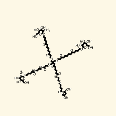 CC1C(OCCCCC(=O)CCCCCC(=O)CCOCC(COCCC(=O)CCCCCC(=O)CCCCOC2OC(CO)C(O)C(O)C2C)(COCCC(=O)NCCCNC(=O)CCCCOC2OC(CO)C(O)C(O)C2C)CC(=O)CCCCC(=O)NCCSSCCCC(=O)N2C[C@H](O)C[C@H]2CO)OC(CO)C(O)C1O